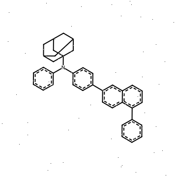 c1ccc(-c2cccc3cc(-c4ccc(N(c5ccccc5)C56CC7CC(CC(C7)C5)C6)cc4)ccc23)cc1